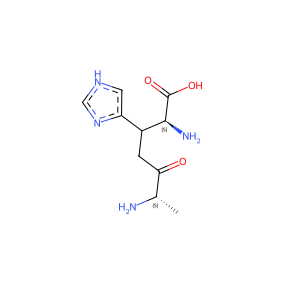 C[C@H](N)C(=O)CC(c1c[nH]cn1)[C@H](N)C(=O)O